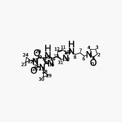 O=C1CCCN1CCCNc1ccc(-c2nc3c([nH]2)c(=O)n(C2CC2)c(=O)n3C2CC2)cn1